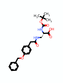 CC(C)(C)OC(=O)N[C@@H](CNC(=O)Cc1ccc(OCc2ccccc2)cc1)C(=O)O